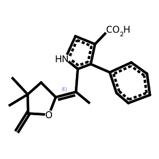 C=C1O/C(=C(\C)c2[nH]cc(C(=O)O)c2-c2ccccc2)CC1(C)C